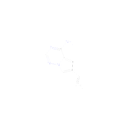 C=Cc1cc2c(N)ncnn2c1